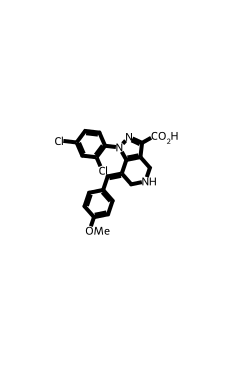 COc1ccc(C=C2CNCc3c(C(=O)O)nn(-c4ccc(Cl)cc4Cl)c32)cc1